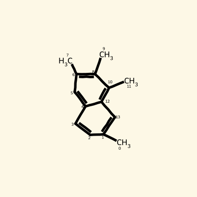 Cc1ccc2cc(C)c(C)c(C)c2c1